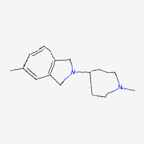 Cc1ccc2c(c1)CN(C1CCN(C)CC1)C2